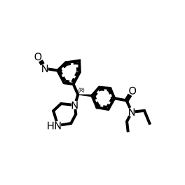 CCN(CC)C(=O)c1ccc([C@H](c2cccc(N=O)c2)N2CCNCC2)cc1